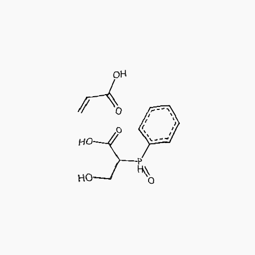 C=CC(=O)O.O=C(O)C(CO)[PH](=O)c1ccccc1